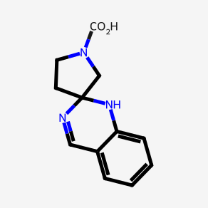 O=C(O)N1CCC2(C1)N=Cc1ccccc1N2